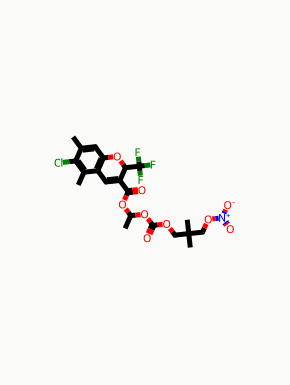 Cc1cc2c(c(C)c1Cl)C=C(C(=O)OC(C)OC(=O)OCC(C)(C)CO[N+](=O)[O-])C(C(F)(F)F)O2